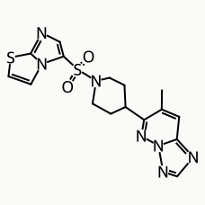 Cc1cc2ncnn2nc1C1CCN(S(=O)(=O)c2cnc3sccn23)CC1